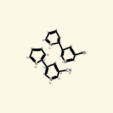 Brc1cncc(-c2ccccn2)c1.N#Cc1cncc(-c2ccccn2)c1